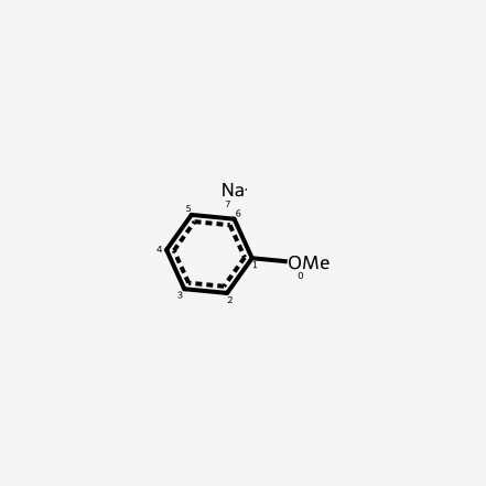 COc1ccccc1.[Na]